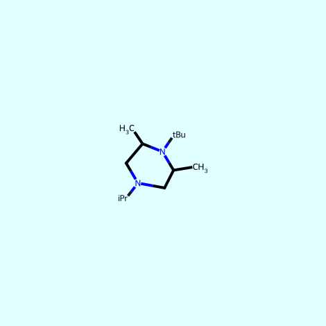 CC(C)N1CC(C)N(C(C)(C)C)C(C)C1